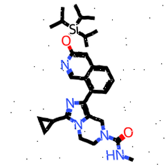 CNC(=O)N1CCn2c(C3CC3)nc(-c3cccc4cc(O[Si](C(C)C)(C(C)C)C(C)C)ncc34)c2C1